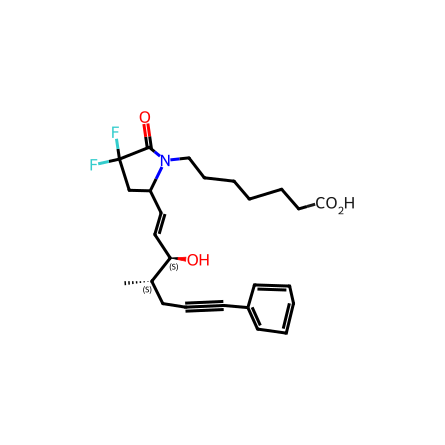 C[C@@H](CC#Cc1ccccc1)[C@H](O)C=CC1CC(F)(F)C(=O)N1CCCCCCC(=O)O